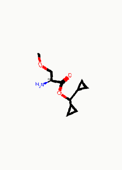 COC[C@H](N)C(=O)OC(C1CC1)C1CC1